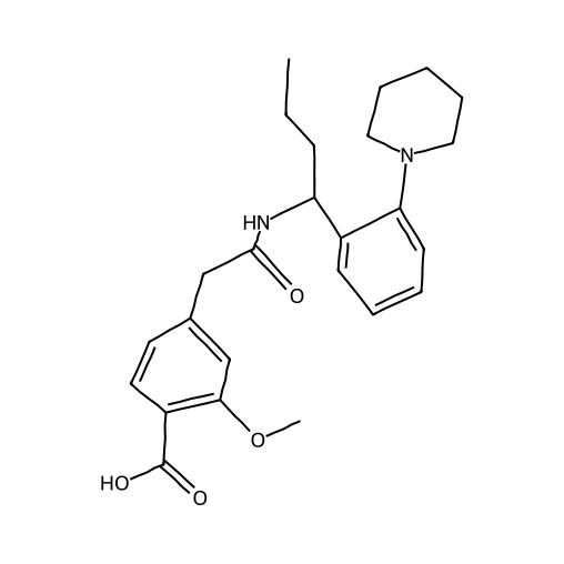 CCCC(NC(=O)Cc1ccc(C(=O)O)c(OC)c1)c1ccccc1N1CCCCC1